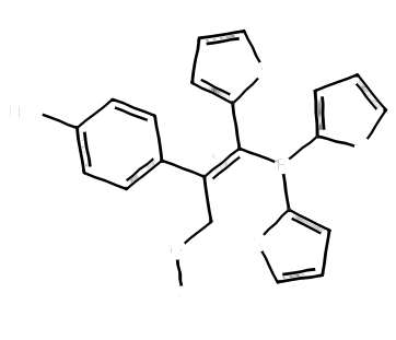 COC/C(=C(\B(c1cccs1)c1cccs1)c1cccs1)c1ccc(C)cc1